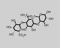 O=C(O)[C@H]1OC(O[C@@H]2[C@H](O)[C@@H](O)C(O[C@@H]3[C@H](O)[C@@H](O)[C@@H](O)O[C@@H]3C(=O)O)O[C@@H]2C(=O)O)[C@H](O)[C@@H](O)[C@H]1O